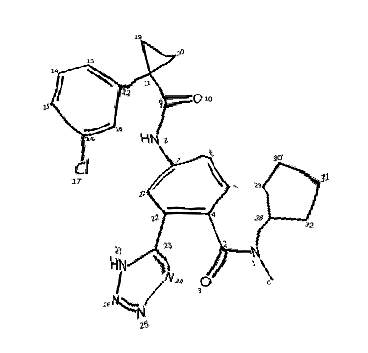 CN(C(=O)c1ccc(NC(=O)C2(c3cccc(Cl)c3)CC2)cc1-c1nnn[nH]1)C1CCCC1